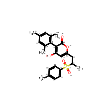 Cc1cc(C)c(-c2c(O)cc(CC(C)S(=O)(=O)c3ccc(C(F)(F)F)cc3)oc2=O)c(C)c1